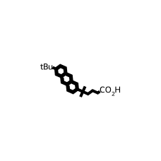 CC(C)(C)c1ccc2cc3cc(C(C)(C)CCCC(=O)O)ccc3cc2c1